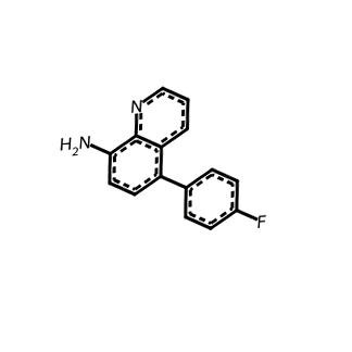 Nc1ccc(-c2ccc(F)cc2)c2cccnc12